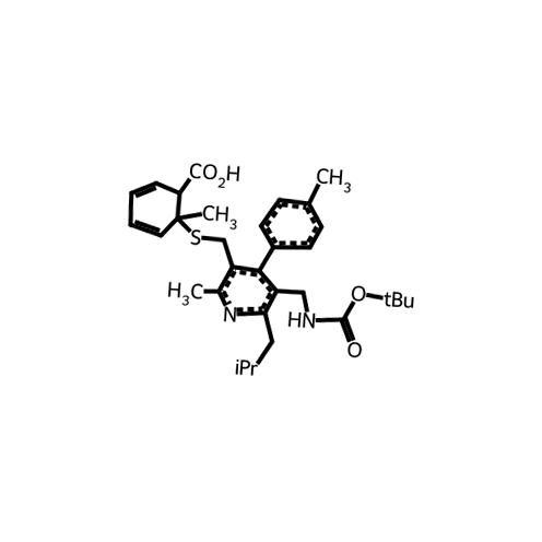 Cc1ccc(-c2c(CSC3(C)C=CC=CC3C(=O)O)c(C)nc(CC(C)C)c2CNC(=O)OC(C)(C)C)cc1